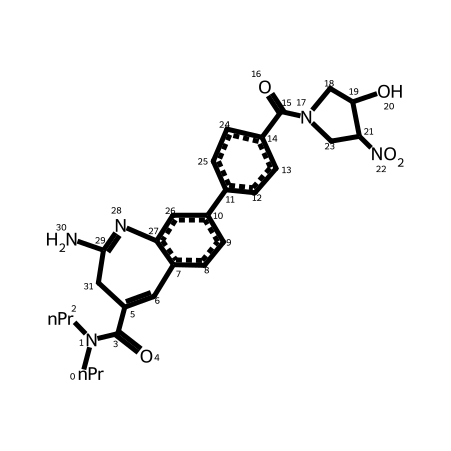 CCCN(CCC)C(=O)C1=Cc2ccc(-c3ccc(C(=O)N4CC(O)C([N+](=O)[O-])C4)cc3)cc2N=C(N)C1